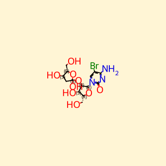 Nc1nc(=O)n([C@@H]2O[C@H](CO)[C@H](O)[C@H]2O[C@]2(O)C[C@H](O)[C@@H](CO)O2)cc1Br